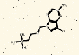 C[Si](C)(C)CCOCn1cc(Cl)c2nc(N)cnc21